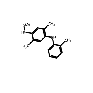 CSNc1cc(C)c(Bc2ccccc2C)cc1C